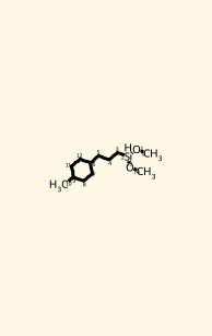 CO[SiH](CCCC1CCC(C)CC1)OC